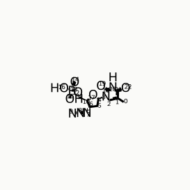 Cc1cn([C@H]2CC(N=[N+]=[N-])[C@@H](COP(=O)(O)O)O2)c(=O)[nH]c1=O